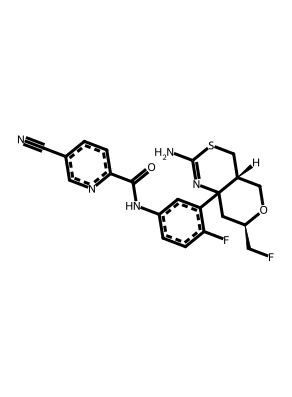 N#Cc1ccc(C(=O)Nc2ccc(F)c(C34C[C@H](CF)OC[C@H]3CSC(N)=N4)c2)nc1